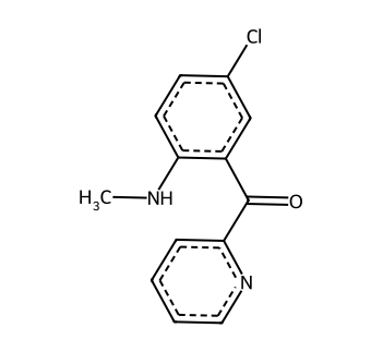 CNc1ccc(Cl)cc1C(=O)c1ccccn1